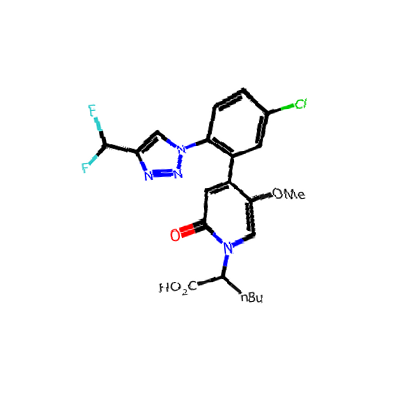 CCCCC(C(=O)O)n1cc(OC)c(-c2cc(Cl)ccc2-n2cc(C(F)F)nn2)cc1=O